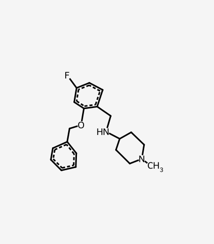 CN1CCC(NCc2ccc(F)cc2OCc2ccccc2)CC1